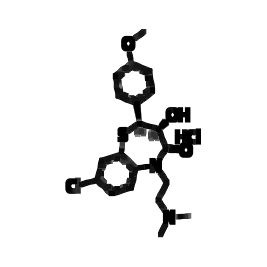 COc1ccc([C@@H]2Sc3cc(Cl)ccc3N(CCN(C)C)C(=O)[C@@H]2O)cc1.Cl